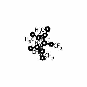 Cc1ccccc1-c1ccc2c(c1)c1cc(-c3ccccc3C)ccc1n2-c1cc(-c2ccc(C(F)(F)F)cc2C(F)(F)F)cc(-n2c3ccc(-c4ccccc4C)cc3c3cc(-c4ccccc4C)ccc32)c1C#N